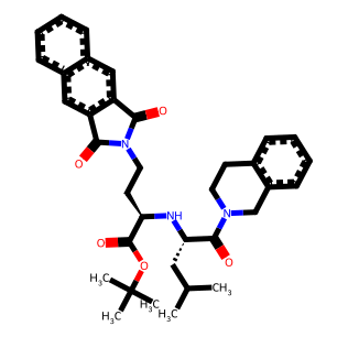 CC(C)C[C@H](N[C@H](CCN1C(=O)c2cc3ccccc3cc2C1=O)C(=O)OC(C)(C)C)C(=O)N1CCc2ccccc2C1